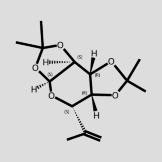 C=C(C)[C@@H]1O[C@H]2OC(C)(C)O[C@H]2[C@@H]2OC(C)(C)O[C@@H]21